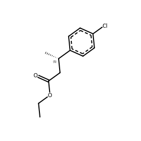 CCOC(=O)C[C@H](C)c1ccc(Cl)cc1